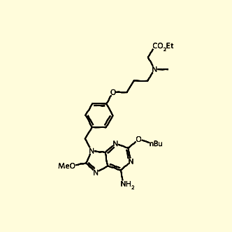 CCCCOc1nc(N)c2nc(OC)n(Cc3ccc(OCCCN(C)CC(=O)OCC)cc3)c2n1